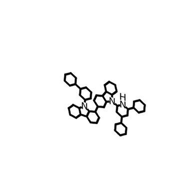 C1CCC(C2CCCC(N3C4CCCCC4C4CCCC(C5CCC6C7CCCCC7N(C7CC(C8CCCCC8)CC(C8CCCCC8)N7)C6C5)C43)C2)CC1